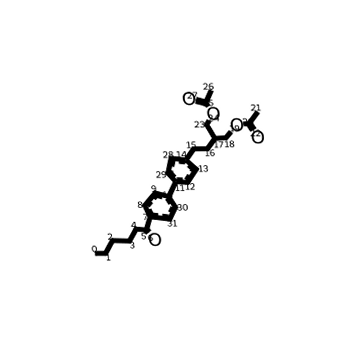 CCCCCC(=O)c1ccc(-c2ccc(CCC(COC(C)=O)COC(C)=O)cc2)cc1